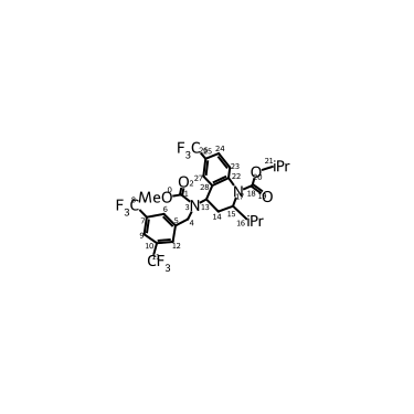 COC(=O)N(Cc1cc(C(F)(F)F)cc(C(F)(F)F)c1)C1CC(C(C)C)N(C(=O)OC(C)C)c2ccc(C(F)(F)F)cc21